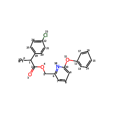 CC(C)C(C(=O)OCc1cccc(Oc2ccccc2)n1)c1ccc(Cl)cc1